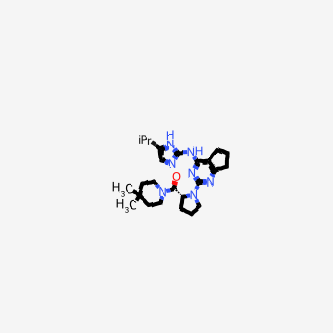 CC(C)c1cnc(Nc2nc(N3CCC[C@@H]3C(=O)N3CCC(C)(C)CC3)nc3c2CCC3)[nH]1